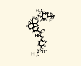 CC[S+]([O-])c1ccc(CNC(=O)c2cc3c(s2)C2(CCN(Cc4cnc(C(F)(F)F)nc4C)CC2)OCC3)nc1